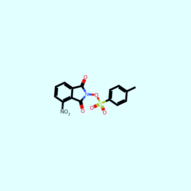 Cc1ccc(S(=O)(=O)ON2C(=O)c3cccc([N+](=O)[O-])c3C2=O)cc1